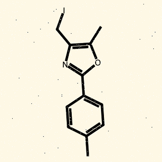 Cc1ccc(-c2nc(CI)c(C)o2)cc1